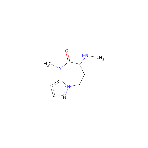 CNC1CCn2nccc2N(C)C1=O